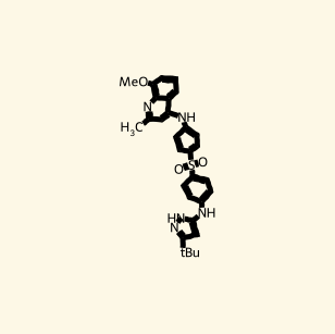 COc1cccc2c(Nc3ccc(S(=O)(=O)c4ccc(Nc5cc(C(C)(C)C)n[nH]5)cc4)cc3)cc(C)nc12